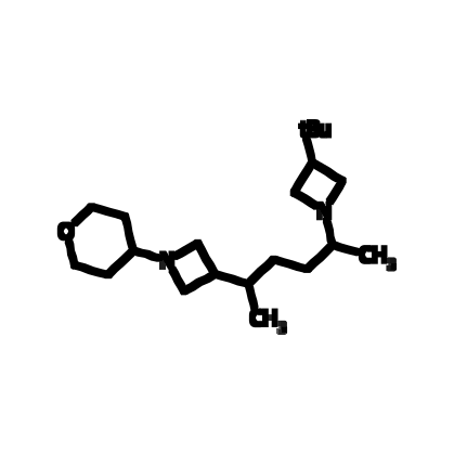 CC(CCC(C)N1CC(C(C)(C)C)C1)C1CN(C2CCOCC2)C1